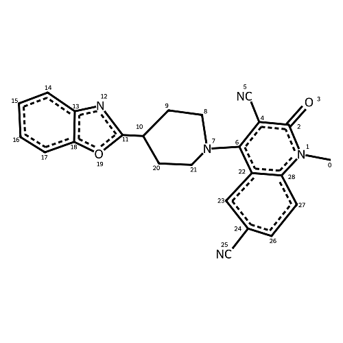 Cn1c(=O)c(C#N)c(N2CCC(c3nc4ccccc4o3)CC2)c2cc(C#N)ccc21